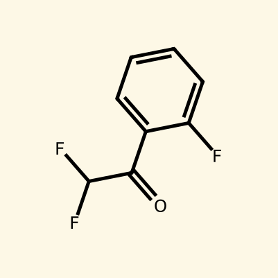 O=C(c1ccccc1F)C(F)F